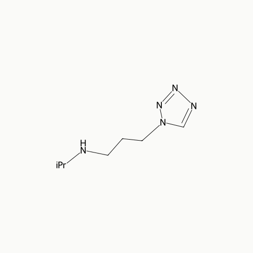 CC(C)NCCCn1cnnn1